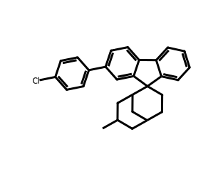 CC1CC2CCC3(c4ccccc4-c4ccc(-c5ccc(Cl)cc5)cc43)C(C1)C2